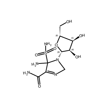 NC(=O)C1=NCN([C@@H]2O[C@H](CO)[C@@H](O)[C@H]2O)C1(N)S(N)(=O)=O